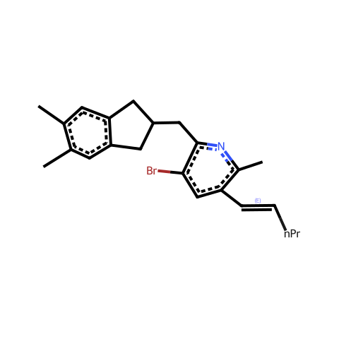 CCC/C=C/c1cc(Br)c(CC2Cc3cc(C)c(C)cc3C2)nc1C